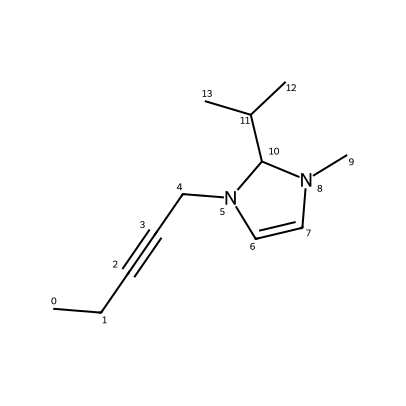 CCC#CCN1C=CN(C)C1C(C)C